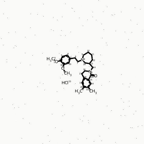 COc1ccc(CCN2CCCCC(CN3CCc4cc(C)c(C)cc4C3=O)C2)cc1OC.Cl